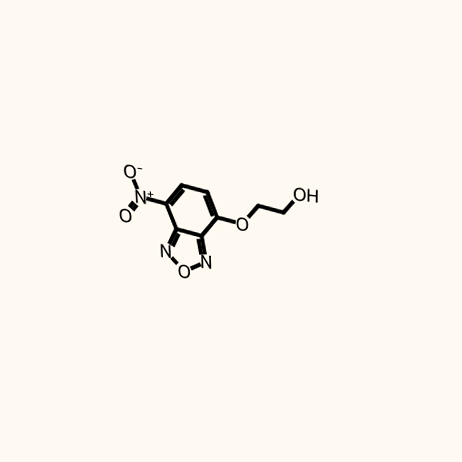 O=[N+]([O-])c1ccc(OCCO)c2nonc12